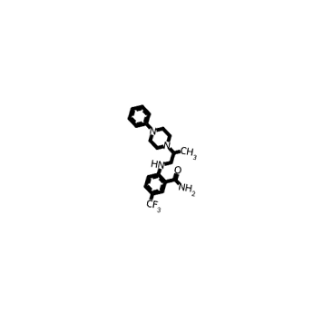 CC(CNc1ccc(C(F)(F)F)cc1C(N)=O)N1CCN(c2ccccc2)CC1